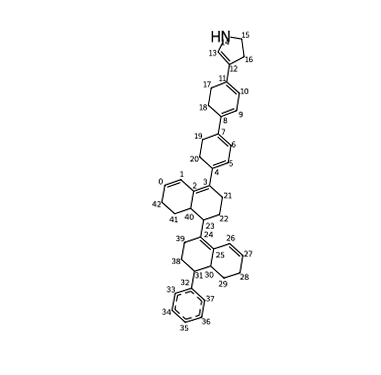 C1=CC2=C(C3=CC=C(C4=CC=C(C5=CNCC5)CC4)CC3)CCC(C3=C4C=CCCC4C(c4ccccc4)CC3)C2CC1